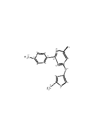 Cc1cc(Oc2csc(C(F)(F)F)c2)nc(-c2ccc(C(F)(F)F)cc2)n1